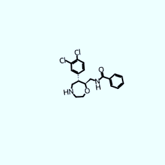 O=C(NC[C@H]1OCCNC[C@@H]1c1ccc(Cl)c(Cl)c1)c1ccccc1